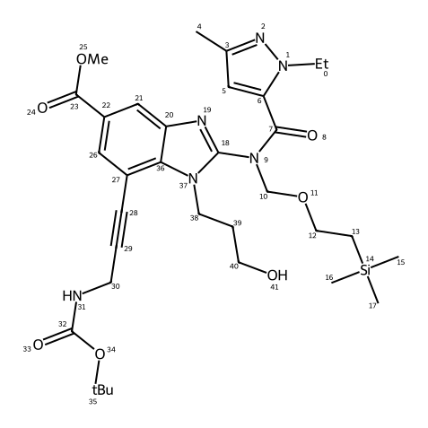 CCn1nc(C)cc1C(=O)N(COCC[Si](C)(C)C)c1nc2cc(C(=O)OC)cc(C#CCNC(=O)OC(C)(C)C)c2n1CCCO